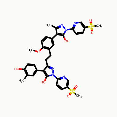 COc1ccc(-c2c(C)nn(-c3ccc(S(C)(=O)=O)cn3)c2O)cc1CCc1nn(-c2ccc(S(C)(=O)=O)cn2)c(O)c1-c1ccc(O)c(C)c1